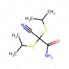 CC(C)SC(C#N)(SC(C)C)C(N)=O